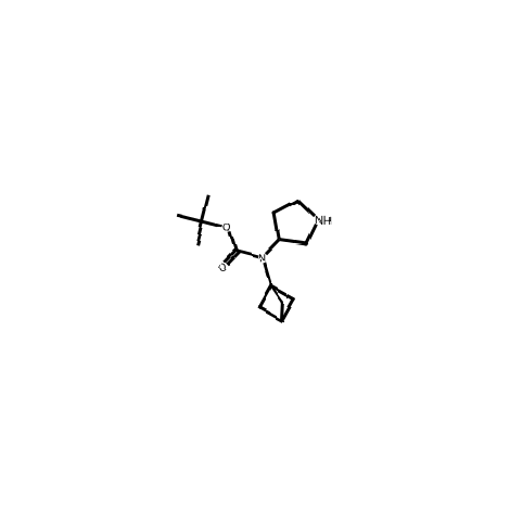 CC(C)(C)OC(=O)N(C1CCNC1)C12CC(C1)C2